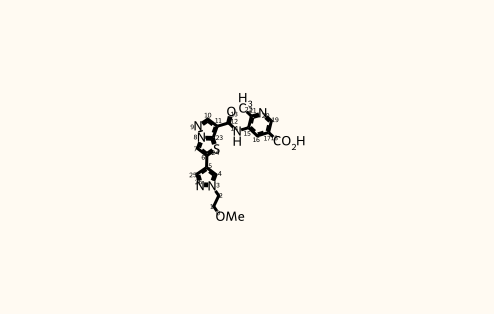 COCCn1cc(-c2cn3ncc(C(=O)Nc4cc(C(=O)O)cnc4C)c3s2)cn1